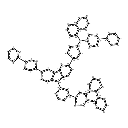 c1ccc(-c2ccc(-c3ccc4c(c3)c3cc(-c5ccc(N(c6ccc(-c7ccccc7)cc6)c6cccc7ccccc67)cc5)ccc3n4-c3cccc(-c4ccc5c6ccccc6c6ccccc6c5c4)c3)cc2)cc1